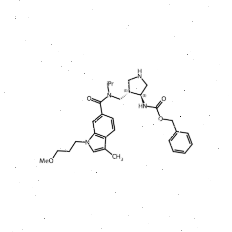 COCCCn1cc(C)c2ccc(C(=O)N(C[C@@H]3CNC[C@H]3NC(=O)OCc3ccccc3)C(C)C)cc21